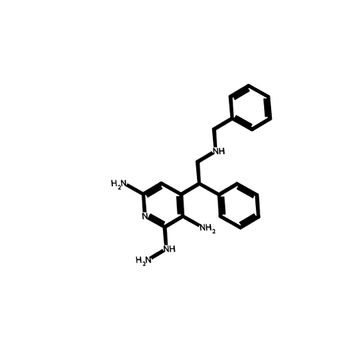 NNc1nc(N)cc(C(CNCc2ccccc2)c2ccccc2)c1N